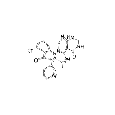 CC(Nc1ncnc2c1C(=O)NCN2)c1nc2cccc(Cl)c2c(=O)n1-c1cccnc1